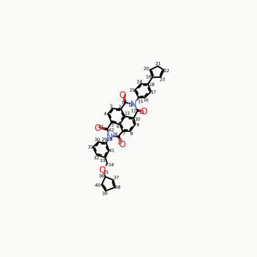 O=C1c2ccc3c4c(ccc(c24)C(=O)N1c1ccc(C2=CCC=C2)cc1)C(=O)N(c1cccc(COC2C=CC=C2)c1)C3=O